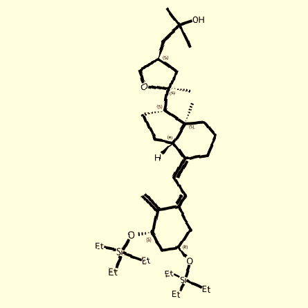 C=C1C(=CC=C2CCC[C@@]3(C)[C@H]2CC[C@@H]3[C@]2(C)C[C@H](CC(C)(C)O)CO2)C[C@@H](O[Si](CC)(CC)CC)C[C@@H]1O[Si](CC)(CC)CC